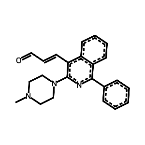 CN1CCN(c2nc(-c3ccccc3)c3ccccc3c2C=CC=O)CC1